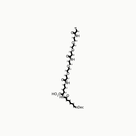 CCCCCCCCCCCCCCCC(=O)NC(CCCCNC(=O)CCOCCOCCNC(=O)CCOCCOCCNC(=O)CI)C(=O)O